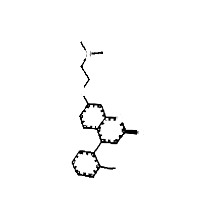 Cc1ccccc1-c1cc(=O)oc2cc(OCCN(C)C)ccc12